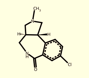 CN1C[C@@H]2CNC(=O)c3cc(Cl)ccc3[C@H]2C1